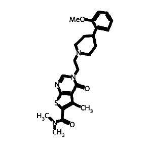 COc1ccccc1C1CCN(CCn2cnc3sc(C(=O)N(C)C)c(C)c3c2=O)CC1